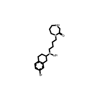 CCCN(CCCCN1CCCNCC1=O)C1CCc2ccc(Br)cc2C1